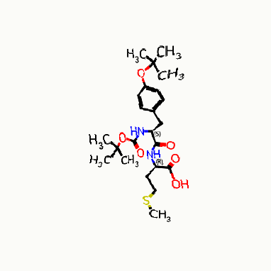 CSCC[C@@H](NC(=O)[C@H](Cc1ccc(OC(C)(C)C)cc1)NC(=O)OC(C)(C)C)C(=O)O